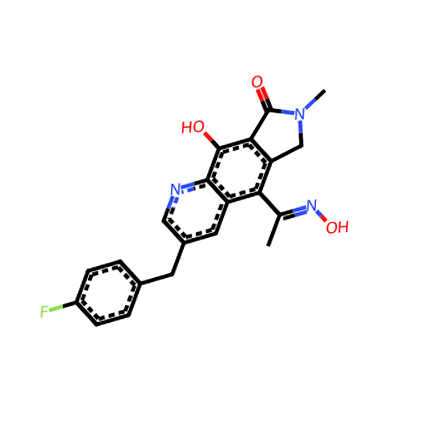 C/C(=N\O)c1c2c(c(O)c3ncc(Cc4ccc(F)cc4)cc13)C(=O)N(C)C2